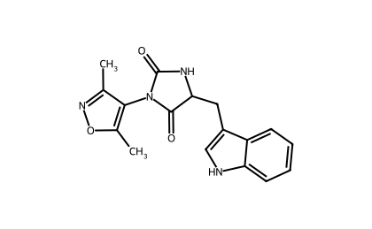 Cc1noc(C)c1N1C(=O)NC(Cc2c[nH]c3ccccc23)C1=O